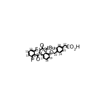 CC(C)(C)OC(=O)CN(C(=O)c1c(F)cccc1F)c1cccc(OCc2ccc(CC(=O)O)cc2)c1